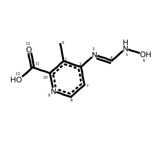 Cc1c(N=CNO)ccnc1C(=O)O